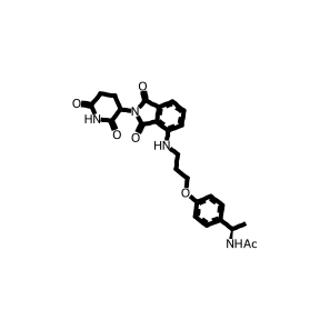 CC(=O)N[C@H](C)c1ccc(OCCCNc2cccc3c2C(=O)N(C2CCC(=O)NC2=O)C3=O)cc1